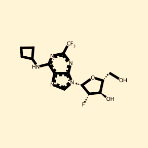 OC[C@H]1O[C@@H](n2cnc3c(NC4CCC4)nc(C(F)(F)F)nc32)[C@@H](F)[C@@H]1O